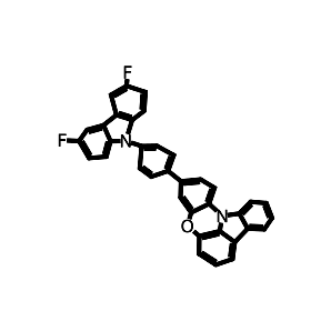 Fc1ccc2c(c1)c1cc(F)ccc1n2-c1ccc(-c2ccc3c(c2)Oc2cccc4c5ccccc5n-3c24)cc1